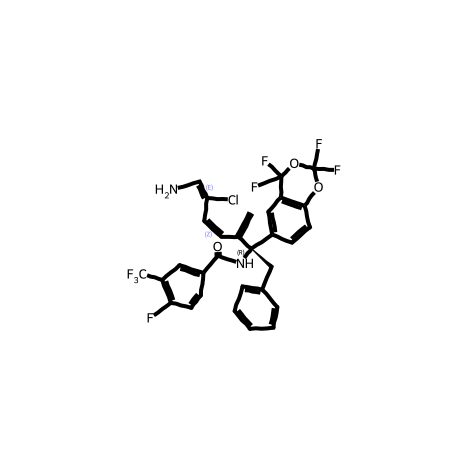 C=C(/C=C\C(Cl)=C/N)[C@@](Cc1ccccc1)(NC(=O)c1ccc(F)c(C(F)(F)F)c1)c1ccc2c(c1)C(F)(F)OC(F)(F)O2